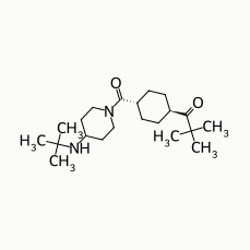 CC(C)(C)NC1CCN(C(=O)[C@H]2CC[C@H](C(=O)C(C)(C)C)CC2)CC1